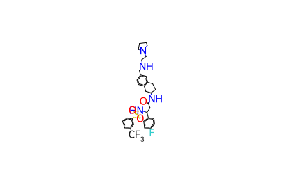 O=C(CC(NS(=O)(=O)c1cccc(C(F)(F)F)c1)c1ccc(F)cc1)NC1CCc2cc(CNCCN3CCCC3)ccc2C1